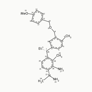 CC[C@H](c1ccc(C)c(COCc2ccc(OC)cc2)c1)c1ccc(N(C)N)c(N)c1C